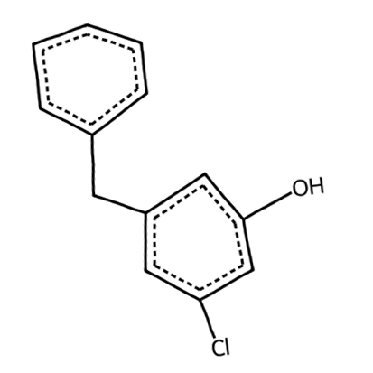 Oc1cc(Cl)cc(Cc2ccccc2)c1